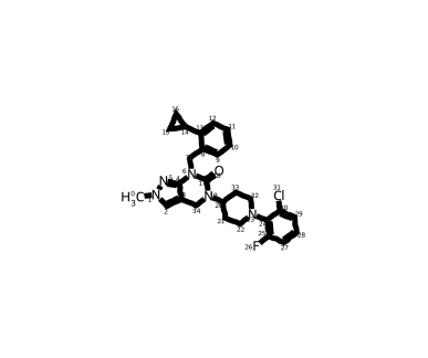 Cn1cc2c(n1)N(Cc1ccccc1C1CC1)C(=O)N(C1CCN(c3c(F)cccc3Cl)CC1)C2